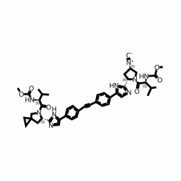 [C-]#[N+][C@H]1C[C@@H](c2ncc(-c3ccc(C#Cc4ccc(-c5cnc([C@@H]6CC7(CC7)CN6C(=O)[C@@H](NC(=O)OC)C(C)C)[nH]5)cc4)cc3)[nH]2)N(C(=O)[C@@H](NC(=O)OC)C(C)C)C1